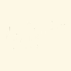 c1ccc2c(c1)oc1c3cc(-c4c5ccccc5c(-c5cc6c7ccccc7oc6c6oc7ccccc7c56)c5ccccc45)sc3ccc21